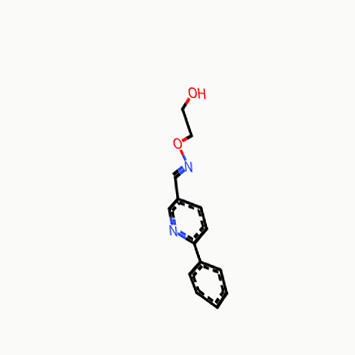 OCCON=Cc1ccc(-c2ccccc2)nc1